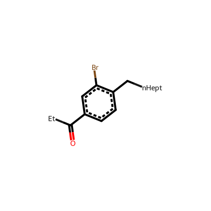 CCCCCCCCc1ccc(C(=O)CC)cc1Br